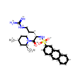 C[C@@H]1CCN(C(=O)[C@H](CCCNC(=N)N)NS(=O)(=O)c2ccc3cc4ccccc4cc3c2)[C@@H](C(=O)O)C1